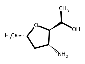 CC(O)[C@@H]1O[C@@H](C)C[C@H]1N